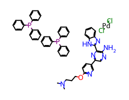 CN(C)CCCOc1ccc(-c2cnc(N)c(-c3nc4ccccc4[nH]3)n2)cn1.[Cl][Pd][Cl].c1ccc(P(c2ccccc2)c2ccccc2)cc1.c1ccc(P(c2ccccc2)c2ccccc2)cc1